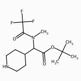 CN(C(=O)C(F)(F)F)C(C(=O)OC(C)(C)C)C1CCNCC1